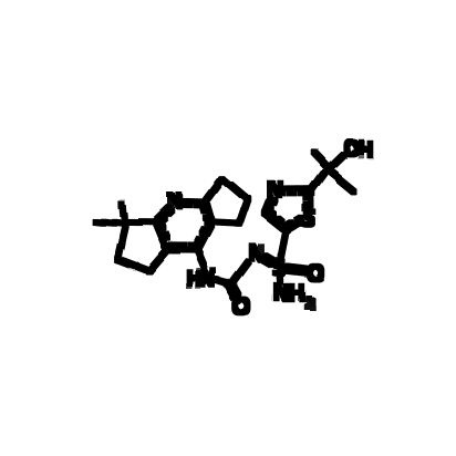 CC(C)(O)c1ncc(S(N)(=O)=NC(=O)Nc2c3c(nc4c2CCC4(C)C)CCC3)s1